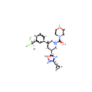 O=C(N1CCOCC1)N1CC(c2cccc(C(F)(F)F)c2)CC(c2nc(C3CC3)no2)C1